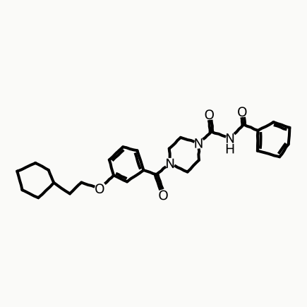 O=C(NC(=O)N1CCN(C(=O)c2cccc(OCCC3CCCCC3)c2)CC1)c1ccccc1